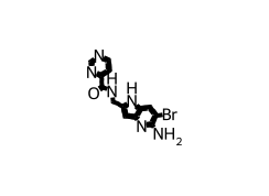 Nc1nc2cc(CNC(=O)c3ccncn3)[nH]c2cc1Br